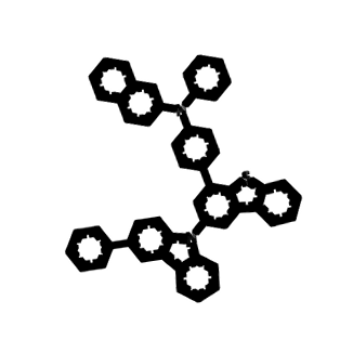 c1ccc(-c2ccc3c(c2)c2ccccc2n3-c2cc(-c3ccc(N(c4ccccc4)c4ccc5ccccc5c4)cc3)c3sc4ccccc4c3c2)cc1